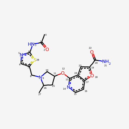 CC(=O)Nc1ncc(CN2CC(Oc3nccc4oc(C(N)=O)cc34)CC2C)s1